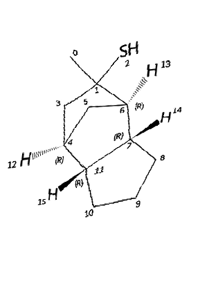 CC1(S)C[C@H]2C[C@@H]1[C@@H]1CCC[C@H]21